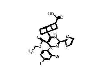 CCOC(=O)C1=C(C23C4C5C2C2C3C4C52C(=O)O)NC(c2nccs2)=N[C@H]1c1ccc(F)cc1Br